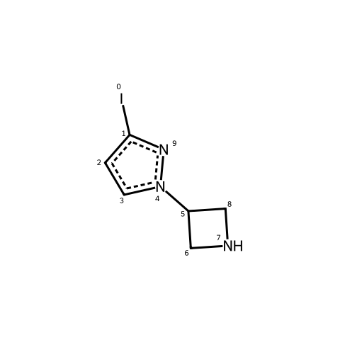 Ic1ccn(C2CNC2)n1